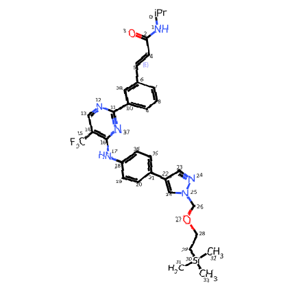 CC(C)NC(=O)/C=C/c1cccc(-c2ncc(C(F)(F)F)c(Nc3ccc(-c4cnn(COCC[Si](C)(C)C)c4)cc3)n2)c1